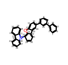 c1ccc(-c2cccc(-c3ccc4oc5c(-n6c7ccccc7c7ccccc76)cccc5c4c3)c2)cc1